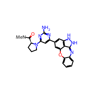 CNC(=O)[C@@H]1CCCN1c1cc(-c2cc3c4c(c2)Oc2ccccc2N=C4NN3)nc(N)n1